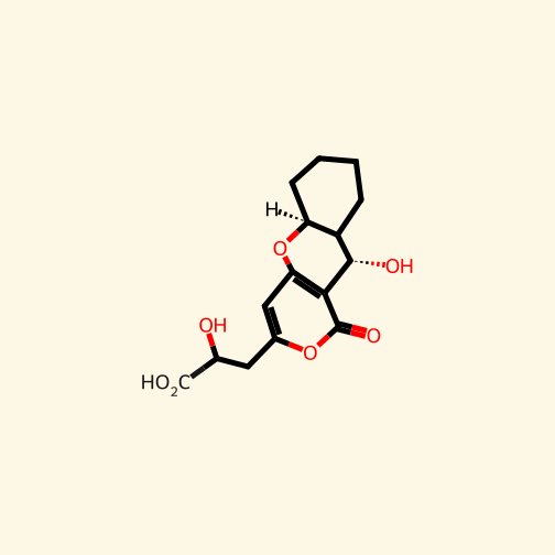 O=C(O)C(O)Cc1cc2c(c(=O)o1)[C@@H](O)C1CCCC[C@@H]1O2